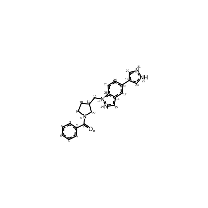 O=C(c1ccccc1)N1CCC(Cn2ncc3cc(-c4cn[nH]c4)ccc32)C1